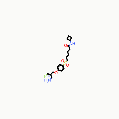 NC/C(=C\F)COc1ccc(S(=O)(=O)CCCCCC(=O)NC2CCC2)cc1